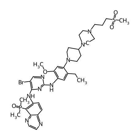 CCc1cc(Nc2ncc(Br)c(Nc3ccc4nccnc4c3P(C)(C)=O)n2)c(OC)cc1N1CCC(N2CCN(CCCS(C)(=O)=O)CC2)CC1